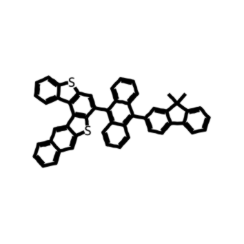 CC1(C)c2ccccc2-c2ccc(-c3c4ccccc4c(-c4cc5sc6ccccc6c5c5c4sc4cc6ccccc6cc45)c4ccccc34)cc21